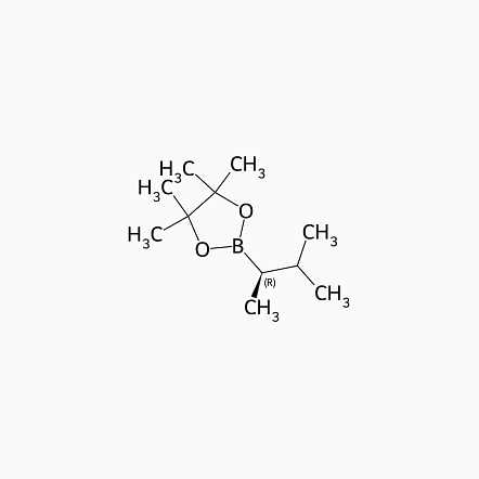 CC(C)[C@@H](C)B1OC(C)(C)C(C)(C)O1